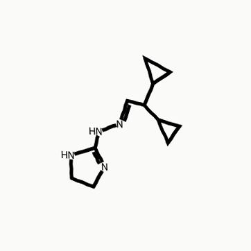 C(=NNC1=NCCN1)C(C1CC1)C1CC1